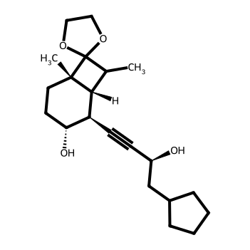 CC1[C@@H]2[C@@H](C#C[C@@H](O)CC3CCCC3)[C@H](O)CC[C@]2(C)C12OCCO2